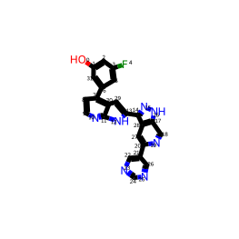 Oc1cc(F)cc(-c2ccnc3[nH]c(-c4n[nH]c5cnc(-c6cncnc6)cc45)cc23)c1